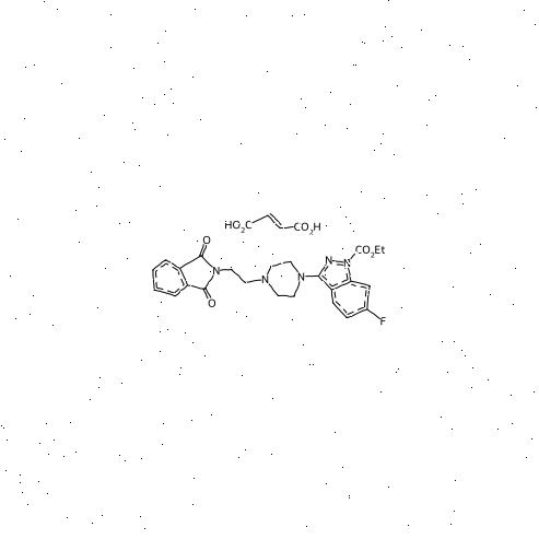 CCOC(=O)n1nc(N2CCN(CCN3C(=O)c4ccccc4C3=O)CC2)c2ccc(F)cc21.O=C(O)C=CC(=O)O